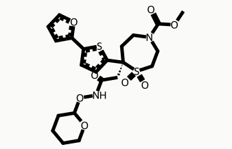 COC(=O)N1CC[C@](CC(=O)NOC2CCCCO2)(c2ccc(-c3ccco3)s2)S(=O)(=O)CC1